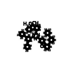 CC1(C)c2ccccc2-c2c(-c3nc(-c4cc(-c5ccccc5)cc(-c5ccccc5)c4)nc(-c4ccc5c(c4)oc4cccc(-c6cccc(-c7ccccc7)c6)c45)n3)cccc21